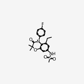 CCc1cc(NS(C)(=O)=O)cc2c1N(c1ccc(F)cc1)C(=O)C(C)(C)O2